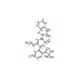 [2H]C([2H])([2H])C(=O)c1ccc(Cl)cc1-c1cc(=O)n(C(Cc2ccccc2)C(=O)O)cc1OC